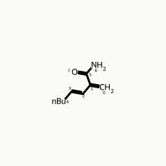 C=C(C=CCCCC)C(N)=O